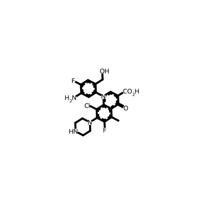 Cc1c(F)c(N2CCNCC2)c(Cl)c2c1c(=O)c(C(=O)O)cn2-c1cc(N)c(F)cc1CO